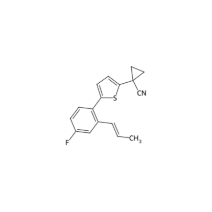 C/C=C/c1cc(F)ccc1-c1ccc(C2(C#N)CC2)s1